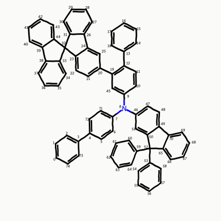 c1ccc(-c2ccc(N(c3ccc(-c4ccccc4)c(-c4ccc5c(c4)-c4ccccc4C54c5ccccc5-c5ccccc54)c3)c3ccc4c(c3)C(c3ccccc3)(c3ccccc3)c3ccccc3-4)cc2)cc1